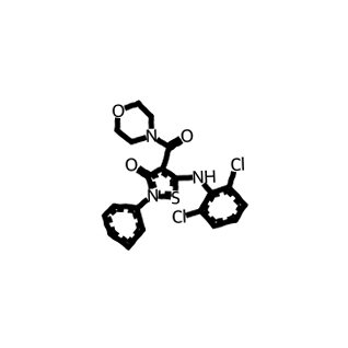 O=C(c1c(Nc2c(Cl)cccc2Cl)sn(-c2ccccc2)c1=O)N1CCOCC1